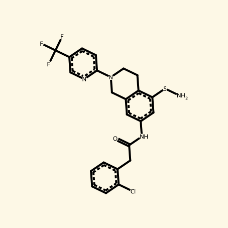 NSc1cc(NC(=O)Cc2ccccc2Cl)cc2c1CCN(c1ccc(C(F)(F)F)cn1)C2